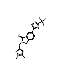 Cc1cc(CN2Cc3ccc(-c4noc(C(F)(F)F)n4)cc3C2=O)nn1C